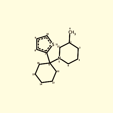 CC1CCCN(C2(c3cccs3)CCCCC2)C1